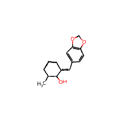 CC1CCCC(=Cc2ccc3c(c2)OCO3)C1O